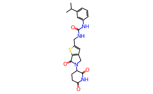 CC(C)c1cccc(NC(=O)NCc2cc3c(s2)C(=O)N(C2CCC(=O)NC2=O)C3)c1